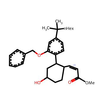 CCCCCCC(C)(C)c1ccc(C2CC(O)CCC2/C=C\C(=O)OC)c(OCc2ccccc2)c1